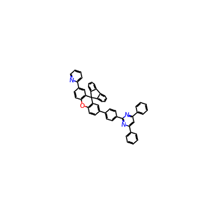 c1ccc(-c2cc(-c3ccccc3)nc(-c3ccc(-c4ccc5c(c4)C4(c6cc(-c7ccccn7)ccc6O5)c5ccccc5-c5ccccc54)cc3)n2)cc1